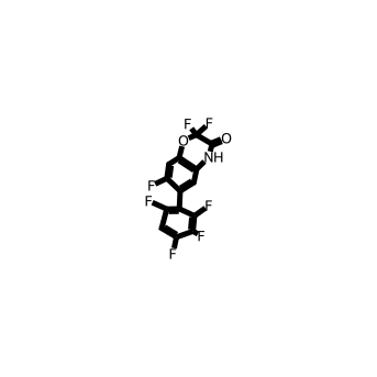 O=C1Nc2cc(-c3c(F)cc(F)c(F)c3F)c(F)cc2OC1(F)F